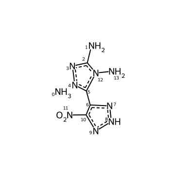 N.Nc1nnc(-c2n[nH]nc2[N+](=O)[O-])n1N